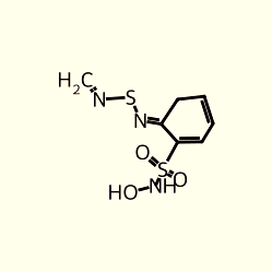 C=NS/N=C1\CC=CC=C1S(=O)(=O)NO